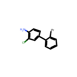 CC(C)c1ccccc1-c1ccc(N)c(Cl)c1